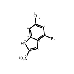 Cc1cc(F)c2cc(C(=O)O)[nH]c2c1